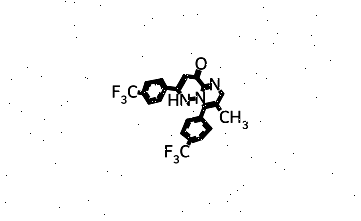 CC1=C(c2ccc(C(F)(F)F)cc2)N2NC(c3ccc(C(F)(F)F)cc3)=CC(=O)C2=NC1